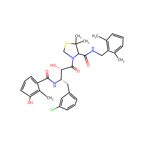 Cc1cccc(C)c1CNC(=O)C1N(C(=O)[C@@H](O)[C@H](Cc2cccc(Cl)c2)NC(=O)c2cccc(O)c2C)CSC1(C)C